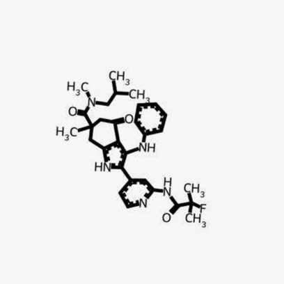 CC(C)CN(C)C(=O)C1(C)CC(=O)c2c([nH]c(-c3ccnc(NC(=O)C(C)(C)F)c3)c2Nc2ccccc2)C1